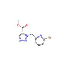 COC(=O)c1cnnn1Cc1cccc(Br)n1